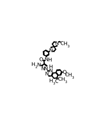 CCN1CCC2(CCN(c3cccc(NC(=O)c4cn(C5N=CC6=C(N5)c5ccc(OC)cc5C(C)(C)C6)nc4N)c3)C2)C1